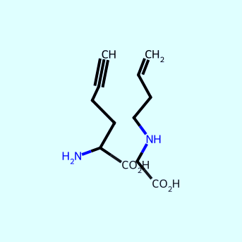 C#CCCC(N)C(=O)O.C=CCCNCC(=O)O